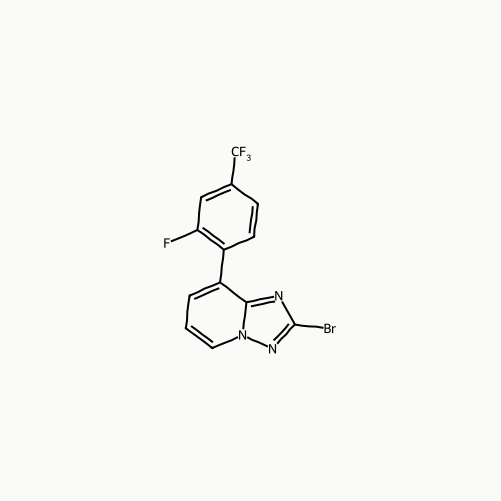 Fc1cc(C(F)(F)F)ccc1-c1cccn2nc(Br)nc12